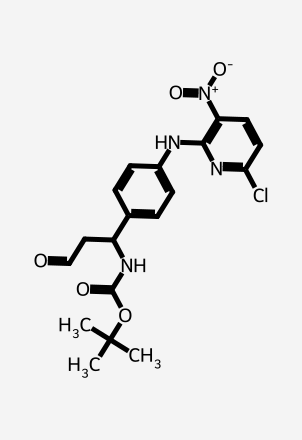 CC(C)(C)OC(=O)NC(CC=O)c1ccc(Nc2nc(Cl)ccc2[N+](=O)[O-])cc1